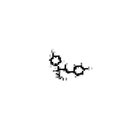 CC(=Cc1ccc(F)cc1)C1(c2ccc(F)cc2)OC1S